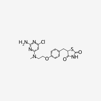 CN(CCOc1ccc(CC2SC(=O)NC2=O)cc1)c1cc(Cl)nc(N)n1